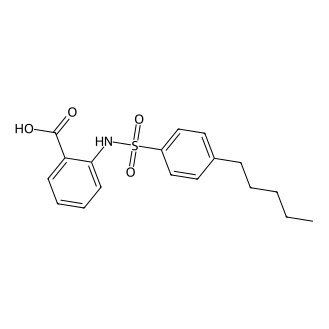 CCCCCc1ccc(S(=O)(=O)Nc2ccccc2C(=O)O)cc1